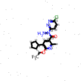 Cc1nc(OCC(F)(F)F)c(C2CCCC2)cc1C(=O)N(N)c1ccc(Cl)nn1